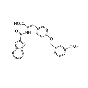 COc1cccc(COc2ccc(/C=C(\NC(=O)c3cc4ccccc4s3)C(=O)O)cc2)c1